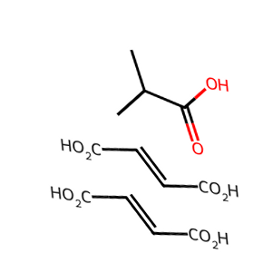 CC(C)C(=O)O.O=C(O)C=CC(=O)O.O=C(O)C=CC(=O)O